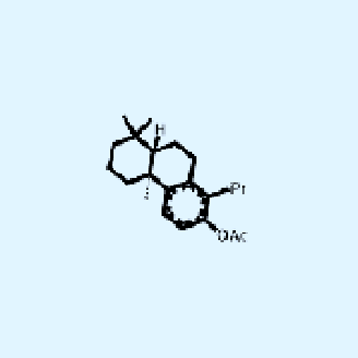 CC(=O)Oc1ccc2c(c1C(C)C)CC[C@H]1C(C)(C)CCC[C@]21C